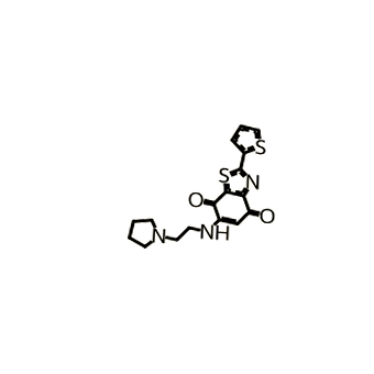 O=C1C=C(NCCN2CCCC2)C(=O)c2sc(-c3cccs3)nc21